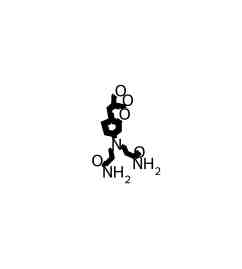 NC(=O)CCN(CCC(N)=O)c1ccc2cc(C=O)c(=O)oc2c1